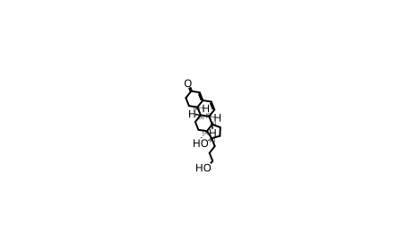 C[C@]12CC[C@H]3[C@@H](C=CC4=CC(=O)CC[C@@H]43)[C@@H]1CC[C@@]2(O)CCCO